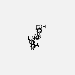 CC(C)c1cncc2cnc(Nc3ccnc(N4CC[C@@H](O)[C@@](C)(F)C4)n3)cc12